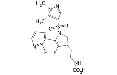 Cc1c(S(=O)(=O)n2cc(CCNC(=O)O)c(F)c2-c2cccnc2F)cnn1C